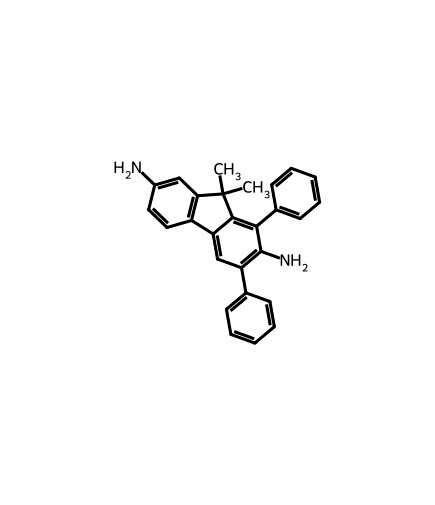 CC1(C)c2cc(N)ccc2-c2cc(-c3ccccc3)c(N)c(-c3ccccc3)c21